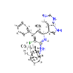 N#Cc1c(-c2c[nH]c3ncncc23)nc(N[C@@H]2C3CCC(CC3)[C@H]2C(=O)O)c(F)c1-c1ccccc1